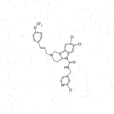 O=C(NCc1ccnc(Cl)c1)n1c2c(c3cc(Cl)c(Cl)cc31)CN(CC=Cc1ccc(OC(F)(F)F)cc1)CC2